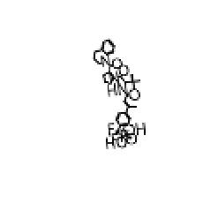 C/C(=C\C(=O)NC(C(=O)N1CCC[C@H]1C(=O)N1CCCc2ccccc21)C(C)(C)C)c1ccc(C(F)(F)P(=O)(O)O)cc1